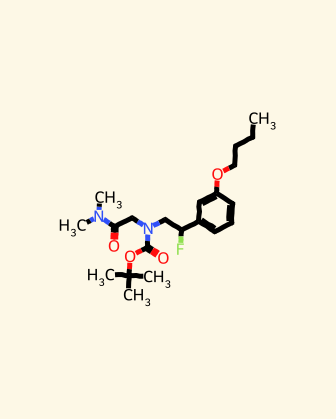 CCCCOc1cccc(C(F)CN(CC(=O)N(C)C)C(=O)OC(C)(C)C)c1